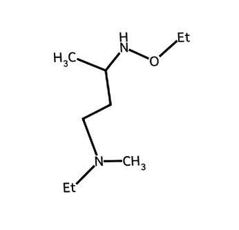 CCONC(C)CCN(C)CC